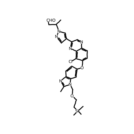 Cc1nc2ccc(Oc3ccc4ncc(-c5cnn(C(C)CC=O)c5)nc4c3Cl)cc2n1COCC[Si](C)(C)C